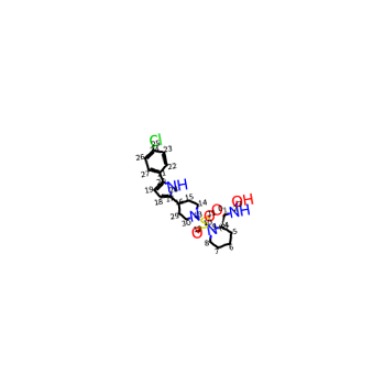 O=C(NO)[C@H]1CCCCN1S(=O)(=O)N1CCC(c2ccc(-c3ccc(Cl)cc3)[nH]2)CC1